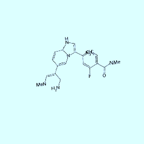 C=C(/C=C(F)\C(=C/C)C(=O)NC)C1=CNC2C=CC(/C(=C/NC)CN)=CN12